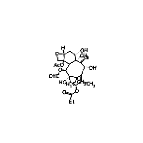 CCC(=O)O[C@H]1C[C@@]2(O)[C@@H](OC=O)C3[C@](C)(C(=O)[C@H](O)C(=C1C)C2(C)C)[C@@H](O)C[C@H]1OC[C@@]31OC(C)=O